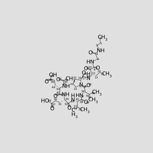 CCCNC(=O)CNC(=O)C(=O)[C@H](CCC)NC(=O)[C@@H]1CCCN1C(=O)[C@@H](NC(=O)[C@@H](NC(=O)[C@H](CCC(=O)O)NC(=O)[C@H](CCC(=O)O)NC(C)=O)C(C)C)C(C)C